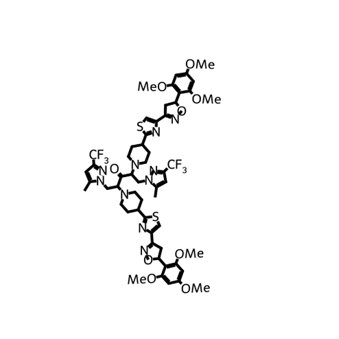 COc1cc(OC)c(C2CC(c3csc(C4CCN(C(Cn5nc(C(F)(F)F)cc5C)C(=O)C(Cn5nc(C(F)(F)F)cc5C)N5CCC(c6nc(C7=NOC(c8c(OC)cc(OC)cc8OC)C7)cs6)CC5)CC4)n3)=NO2)c(OC)c1